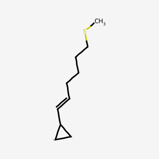 CSCCCCC=CC1[CH]C1